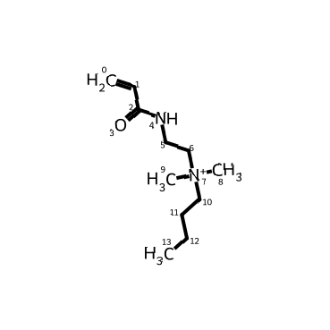 C=CC(=O)NCC[N+](C)(C)CCCC